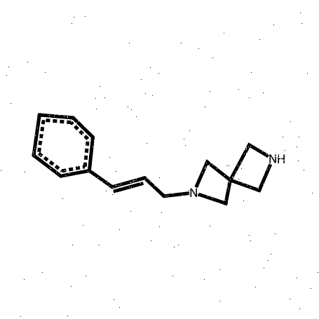 C(=Cc1ccccc1)CN1CC2(CNC2)C1